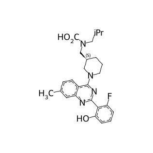 Cc1ccc2c(N3CCC[C@H](CN(CC(C)C)C(=O)O)C3)nc(-c3c(O)cccc3F)nc2c1